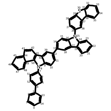 c1ccc(-c2ccc(-n3c4ccc(-c5ccc6c(c5)c5ccccc5n6-c5ccc6sc7ccccc7c6c5)cc4c4ccc5ccccc5c43)cc2)cc1